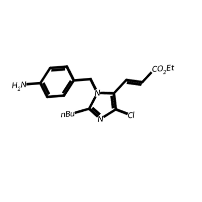 CCCCc1nc(Cl)c(/C=C/C(=O)OCC)n1Cc1ccc(N)cc1